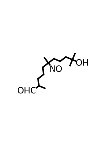 CC(C=O)CCCC(C)(CCCC(C)(C)O)N=O